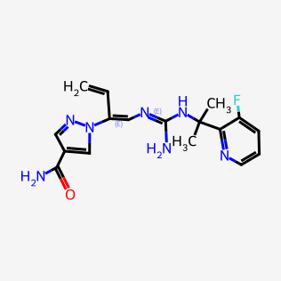 C=C/C(=C\N=C(/N)NC(C)(C)c1ncccc1F)n1cc(C(N)=O)cn1